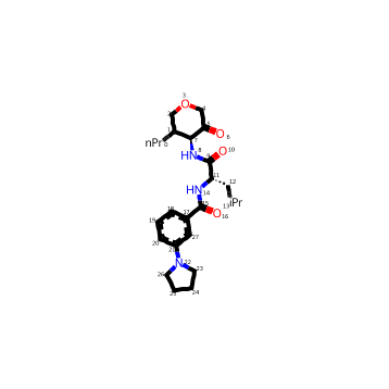 CCCC1COCC(=O)[C@H]1NC(=O)[C@H](CC(C)C)NC(=O)c1cccc(N2CCCC2)c1